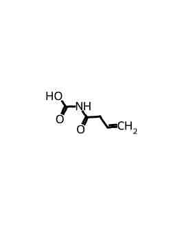 C=CCC(=O)NC(=O)O